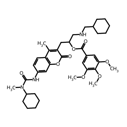 COc1cc(C(=O)OC(CNCC2CCCCC2)Cc2c(C)c3ccc(NC(=O)N(C)C4CCCCC4)cc3oc2=O)cc(OC)c1OC